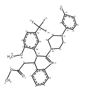 COC(=O)CC1c2ccccc2N=C(N2CCN(c3cccc(Cl)c3)CC2)N1c1cc(C(F)(F)F)ccc1OC